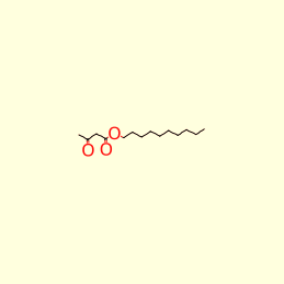 CCCCCCCCCCOC(=O)CC(C)=O